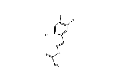 Cl.N=C(N)NN=Cc1ccc(F)c(Cl)c1